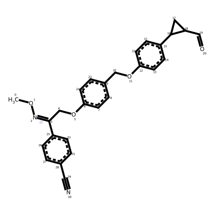 CO/N=C(\COc1ccc(COc2ccc(C3CC3C=O)cc2)cc1)c1ccc(C#N)cc1